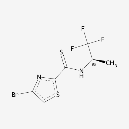 C[C@@H](NC(=S)c1nc(Br)cs1)C(F)(F)F